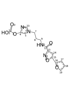 O=C(O)Oc1cn(CCCNC(=O)c2cc(-c3ccco3)on2)cn1